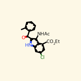 CCOC(=O)c1cc(Cl)cc2[nH]c(C(=O)c3ccccc3C)c(NC(C)=O)c12